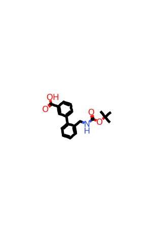 CC(C)(C)OC(=O)NCc1ccccc1-c1cccc(C(=O)O)c1